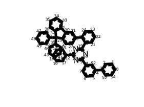 c1ccc(-c2cccc(-c3nc(-c4ccccc4)nc(-c4ccccc4-c4ccc5c(c4)-c4ccccc4C5(c4ccccc4)c4ccccc4)n3)c2)cc1